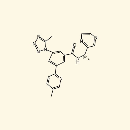 Cc1ccc(-c2cc(C(=O)N[C@@H](C)c3cnccn3)cc(-n3nnnc3C)c2)nc1